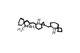 CC1NC(CC2CCCC3(CC3CC3CCCC4(CCC4)N3)N2)CC12CCCCC2